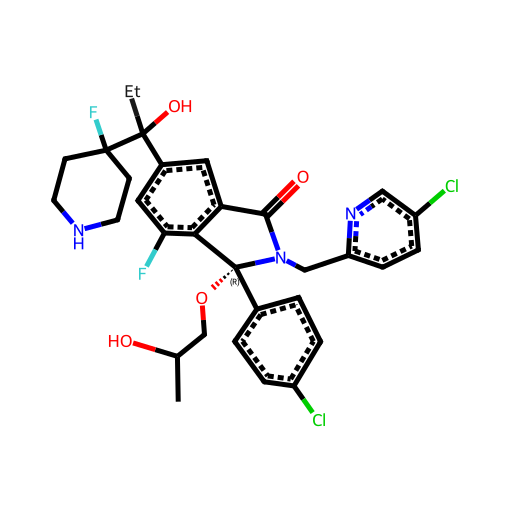 CCC(O)(c1cc(F)c2c(c1)C(=O)N(Cc1ccc(Cl)cn1)[C@@]2(OCC(C)O)c1ccc(Cl)cc1)C1(F)CCNCC1